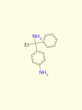 CCC(N)(c1ccccc1)c1ccc(N)cc1